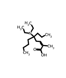 CCCCC(CC=C(C)C(=O)O)(CCC)N(CC)CC